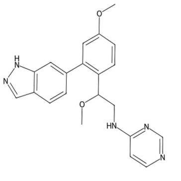 COc1ccc(C(CNc2ccncn2)OC)c(-c2ccc3cn[nH]c3c2)c1